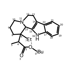 CCC(C)OC(=O)C(C)C1(CC)CCCN2CCc3c([nH]c4ccccc34)C21